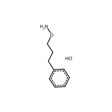 Cl.NOCCCc1ccccc1